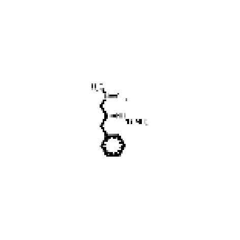 CN(C)C[C@@H](N)Cc1ccccc1.[AlH4-].[Li+]